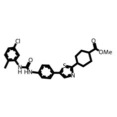 COC(=O)C1CCC(c2ncc(-c3ccc(NC(=O)Nc4cc(Cl)ccc4C)cc3)s2)CC1